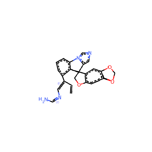 C=C/C(=C\N=C/N)c1cccc2c1C1(COc3cc4c(cc31)OCO4)c1cncn1-2